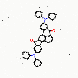 O=C1c2cc(N(c3ccccc3)c3ccccc3)ccc2-c2cc3c(c4cccc1c24)C1C=CC(N(c2ccccc2)c2ccccc2)=CC1C3=O